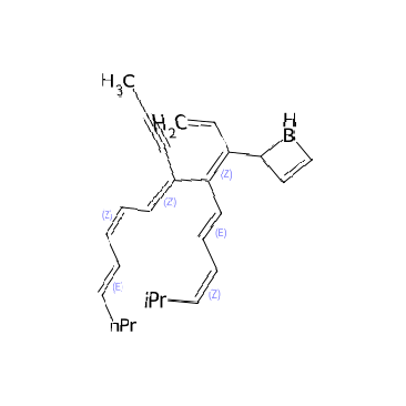 C=C/C(=C(/C=C/C=C\C(C)C)C(\C#CC)=C\C=C/C=C/CCC)C1BC=C1